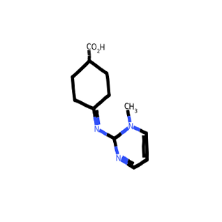 CN1C=CC=NC1N=C1CCC(C(=O)O)CC1